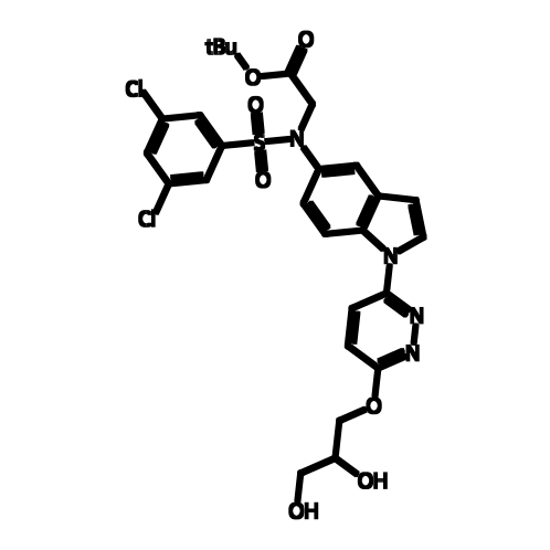 CC(C)(C)OC(=O)CN(c1ccc2c(ccn2-c2ccc(OCC(O)CO)nn2)c1)S(=O)(=O)c1cc(Cl)cc(Cl)c1